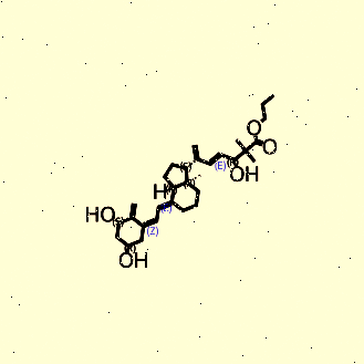 C=C(/C=C/[C@@H](O)C(C)(C)C(=O)OCCC)[C@H]1CC[C@H]2/C(=C/C=C3/C[C@@H](O)C[C@H](O)C3=C)CCC[C@]12C